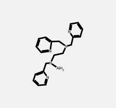 [AlH2][N](CCN(Cc1ccccn1)Cc1ccccn1)Cc1ccccn1